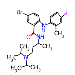 Cc1cc(I)ccc1Nc1ccc(Br)cc1C(=O)NC(C)CCN(C(C)C)C(C)C